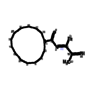 CC/C(=N\C(=O)N1CCCCCCCCCCCCC1)C(C)=P